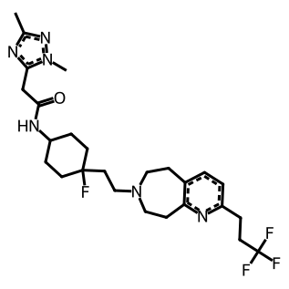 Cc1nc(CC(=O)NC2CCC(F)(CCN3CCc4ccc(CCC(F)(F)F)nc4CC3)CC2)n(C)n1